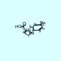 O=C(O)[C@@H]1CCC2=Nc3ccc(Br)cc3CN21